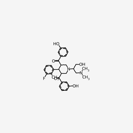 Cc1c(F)cccc1C1C(C(=O)c2cccc(O)c2)CN(C(CO)CN(C)C)CC1C(=O)c1cccc(O)c1